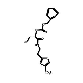 CCOC(=O)c1csc(CCNC(=O)[C@H](CC(C)C)NC(=O)OCc2ccccc2)n1